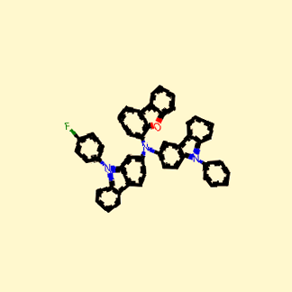 Fc1ccc(-n2c3ccccc3c3ccc(N(c4ccc5c(c4)c4ccccc4n5-c4ccccc4)c4cccc5c4oc4ccccc45)cc32)cc1